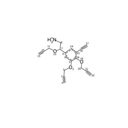 C#CCOc1cc(C(CN)OCC#C)cc(C#C)c1OCC#C